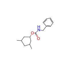 CC1CC(C)CC(OC(=O)NCc2ccccc2)C1